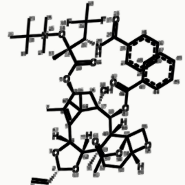 C=C[C@@H]1O[C@@H]2C3=C(C)[C@@H](OC(=O)[C@](C)(O[Si](C)(C)C(C)(C)C)[C@@H](NC(=O)c4ccccc4)C(C)(F)F)C[C@@](O)([C@@H](OC(=O)c4ccccc4)[C@H]4[C@@](C)(CC[C@H]5OC[C@]54OC(C)=O)[C@@H]2O1)C3(C)C